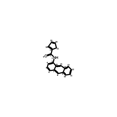 O=C(Nc1cccc2cc3ccccc3cc12)C1=CC=CC1